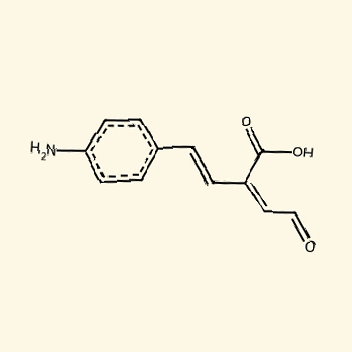 Nc1ccc(C=CC(=CC=O)C(=O)O)cc1